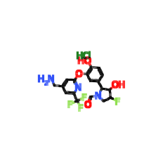 Cl.NCc1cc(Oc2cc(C3C(O)C(F)CN3C=O)ccc2O)nc(C(F)(F)F)c1